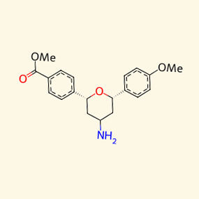 COC(=O)c1ccc([C@H]2CC(N)C[C@@H](c3ccc(OC)cc3)O2)cc1